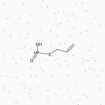 C=CCS[PH](=O)O